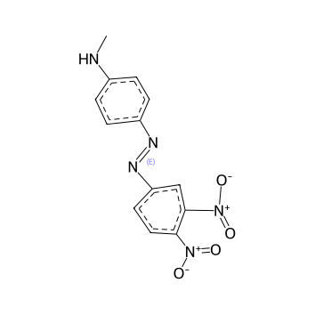 CNc1ccc(/N=N/c2ccc([N+](=O)[O-])c([N+](=O)[O-])c2)cc1